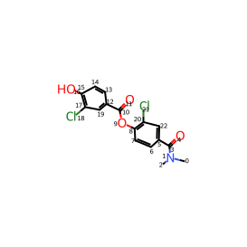 CN(C)C(=O)c1ccc(OC(=O)c2ccc(O)c(Cl)c2)c(Cl)c1